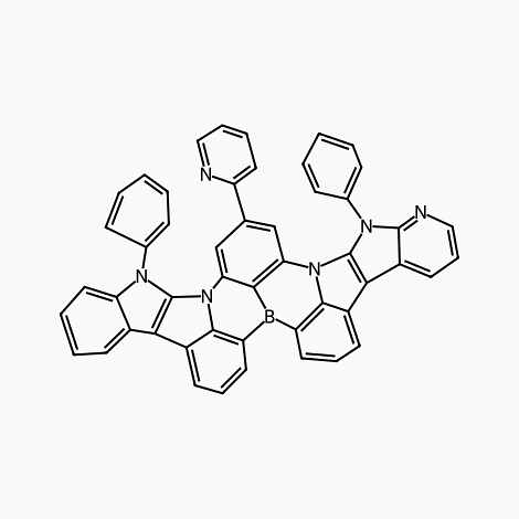 c1ccc(-n2c3ccccc3c3c4cccc5c4n(c32)-c2cc(-c3ccccn3)cc3c2B5c2cccc4c5c6cccnc6n(-c6ccccc6)c5n-3c24)cc1